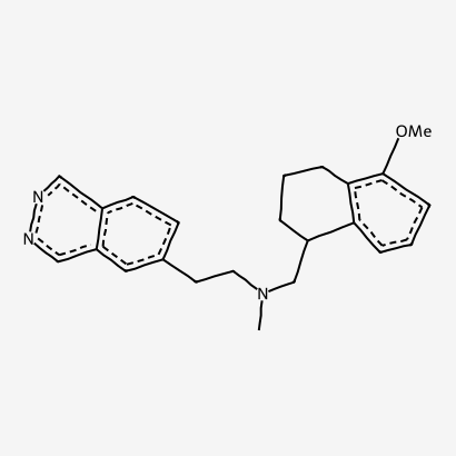 COc1cccc2c1CCCC2CN(C)CCc1ccc2cnncc2c1